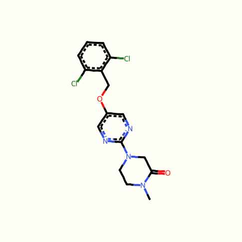 CN1CCN(c2ncc(OCc3c(Cl)cccc3Cl)cn2)CC1=O